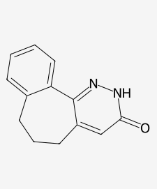 O=c1cc2c(n[nH]1)-c1ccccc1CCC2